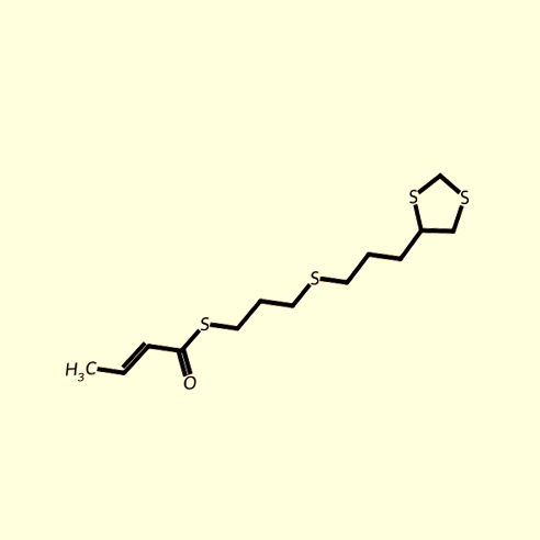 CC=CC(=O)SCCCSCCCC1CSCS1